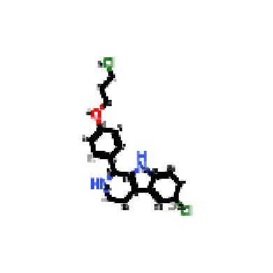 ClCCCOc1ccc(C2NCCc3c2[nH]c2c3=CC(Cl)CC=2)cc1